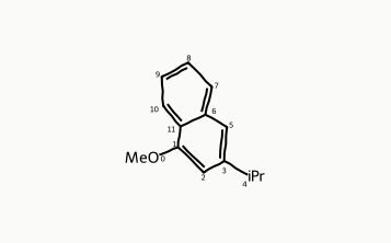 COc1cc(C(C)C)cc2ccccc12